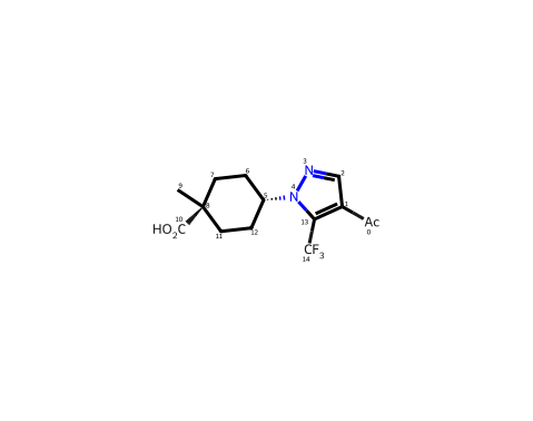 CC(=O)c1cnn([C@H]2CC[C@](C)(C(=O)O)CC2)c1C(F)(F)F